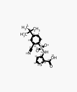 CC(C)(C)c1ccc(S(=O)(=O)Nc2ccsc2C(=O)O)c(C#N)c1